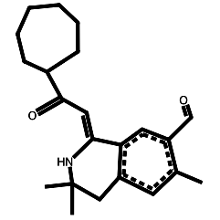 Cc1cc2c(cc1C=O)C(=CC(=O)C1CCCCCC1)NC(C)(C)C2